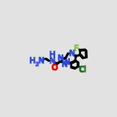 NCCNC(=O)c1nc2n(n1)-c1ccc(Cl)cc1C(c1ccccc1F)=NC2